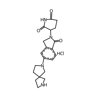 Cl.O=C1CCC(N2Cc3cc(N4CCC5(CCNC5)C4)ccc3C2=O)C(=O)N1